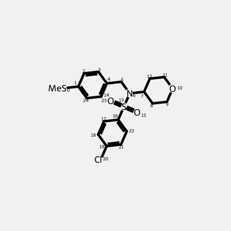 CSc1ccc(CN(C2CCOCC2)S(=O)(=O)c2ccc(Cl)cc2)cc1